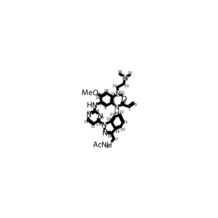 C=CC(=O)Nc1cc(Nc2nccc(-n3nc(CNC(C)=O)c4ccccc43)n2)c(OC)cc1N(C)CCN(C)C